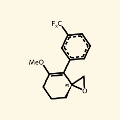 COC1=C(c2cccc(C(F)(F)F)c2)[C@]2(CCC1)CO2